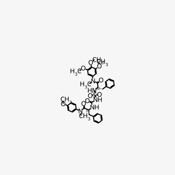 COc1ccc(N(C)C(=O)[C@H](Cc2ccccc2)NC(=O)NS(=O)(=O)N[C@@H](Cc2ccccc2)C(=O)N(C)c2cc(OC)c(OC)c(OC)c2)cc1